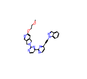 COCCOc1cc2c(cn1)CN(c1nccc(-c3nccc(C#Cn4ncc5ccccc54)n3)n1)C2